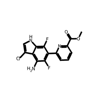 COC(=O)c1cccc(-c2c(F)c(N)c3c(Cl)c[nH]c3c2F)n1